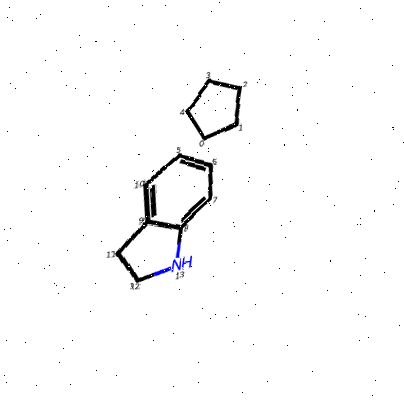 C1CCCC1.c1ccc2c(c1)CCN2